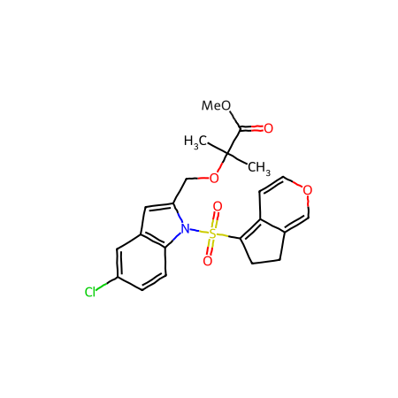 COC(=O)C(C)(C)OCc1cc2cc(Cl)ccc2n1S(=O)(=O)C1=C2C=COC=C2CC1